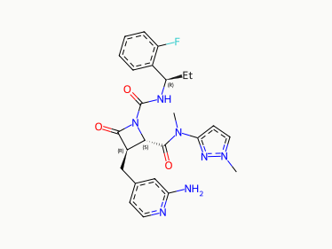 CC[C@@H](NC(=O)N1C(=O)[C@H](Cc2ccnc(N)c2)[C@H]1C(=O)N(C)c1ccn(C)n1)c1ccccc1F